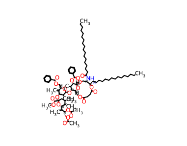 CCCCCCCCCCCCC/C=C/[C@H]1OC(=O)CCC(=O)OC[C@@H]2O[C@@H](OC[C@@H]1NC(=O)CCCCCCCCCCCCCCCCC)C(OC(=O)c1ccccc1)C(C)[C@@H]2O[C@@H]1OC(COC(=O)c2ccccc2)[C@H](C)[C@H](O[C@]2(C(=O)OC)CC(C)[C@@H](C)[C@H]([C@H](C)[C@@H](COC(C)=O)OC(C)=O)O2)C1C